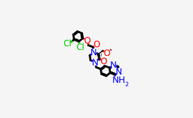 COC[C@H]1C(=O)N(Cc2ccc3c(N)ncnc3c2)CCN1C(=O)COc1cccc(Cl)c1Cl